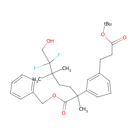 CC(C)(C)OC(=O)CCc1cccc(C(C)(CCC(C)(C)C(F)(F)CO)C(=O)OCc2ccccc2)c1